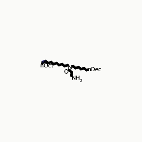 CCCCCCCC/C=C\CCCCCCCCN(CCCCCCCCCCCCCCCC)C(=O)CCN